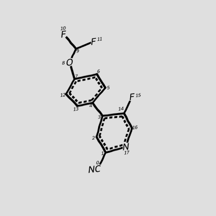 N#Cc1cc(-c2ccc(OC(F)F)cc2)c(F)cn1